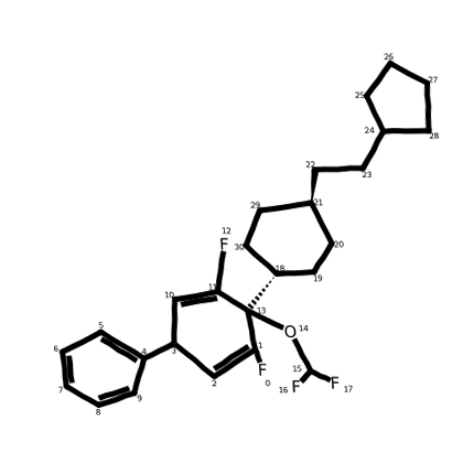 FC1=CC(c2ccccc2)C=C(F)C1(OC(F)F)[C@H]1CC[C@H](CCC2CCCC2)CC1